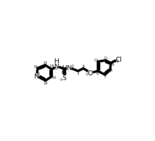 S=C(NCCOc1ccc(Cl)cc1)Nc1ccncc1